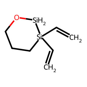 C=C[Si]1(C=C)CCCO[SiH2]1